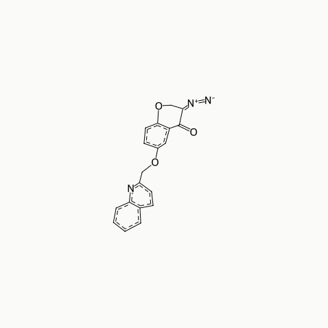 [N-]=[N+]=C1COc2ccc(OCc3ccc4ccccc4n3)cc2C1=O